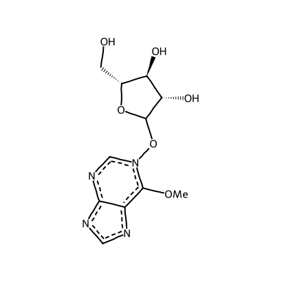 COc1c2ncnc-2ncn1OC1O[C@H](CO)[C@@H](O)[C@@H]1O